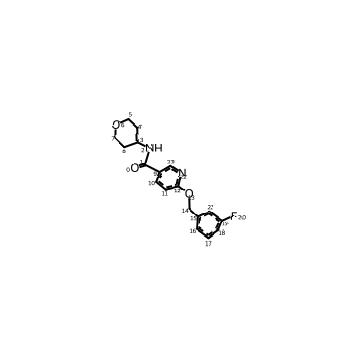 O=C(NC1CCOCC1)c1ccc(OCc2cccc(F)c2)nc1